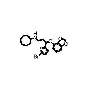 Brc1ccc(C(CCNC2CCCCCC2)Oc2cccc3c2OCO3)s1